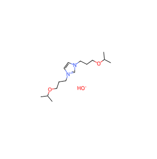 CC(C)OCCCn1cc[n+](CCCOC(C)C)c1.[OH-]